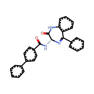 O=C(N[C@H]1N=C(c2ccccc2)c2ccccc2NC1=O)c1ccc(-c2ccccc2)cc1